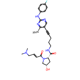 CNc1nc(Nc2ccc(F)cc2)ncc1C#CCCCNC(=O)[C@@H]1C[C@H](O)CN1C(=O)/C=C/CN(C)C